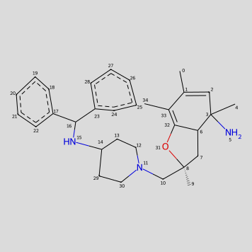 CC1=CC(C)(N)C2C[C@@](C)(CN3CCC(NC(c4ccccc4)c4ccccc4)CC3)OC2=C1C